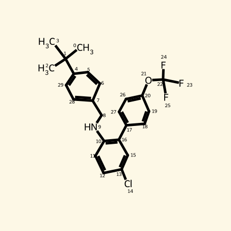 CC(C)(C)c1ccc(CNc2ccc(Cl)cc2-c2ccc(OC(F)(F)F)cc2)cc1